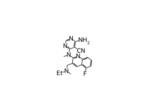 CCN(C)Cc1cc2c(F)cccc2nc1N(C)c1ncnc(N)c1C#N